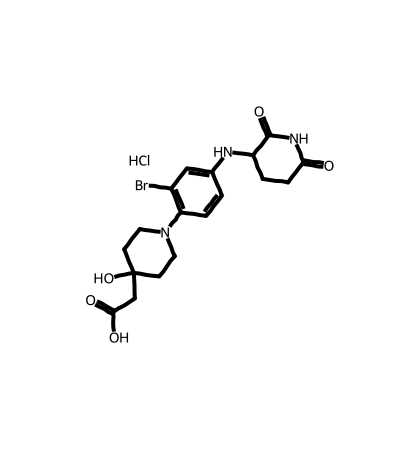 Cl.O=C(O)CC1(O)CCN(c2ccc(NC3CCC(=O)NC3=O)cc2Br)CC1